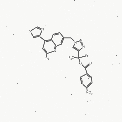 CCC(OC(=O)c1ccc([N+](=O)[O-])cc1)(c1cn(Cc2ccc3c(-c4cscn4)cc(C#N)nc3c2)nn1)C(F)(F)F